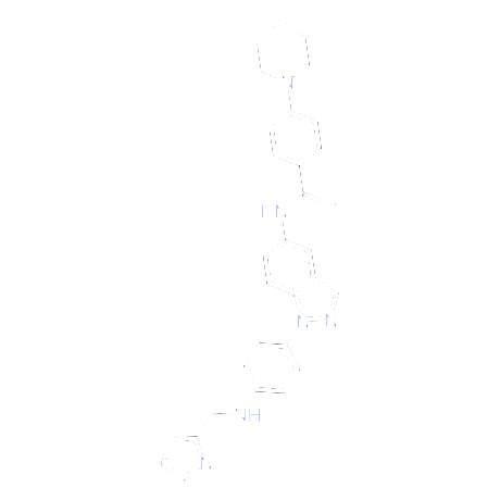 O=C(Nc1ccc2c(cnn2-c2ccc(NCc3nccs3)cc2)c1)c1ccc(N2CCOCC2)cc1